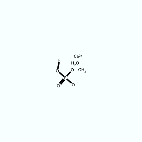 O.O.O=P([O-])([O-])OF.[Ca+2]